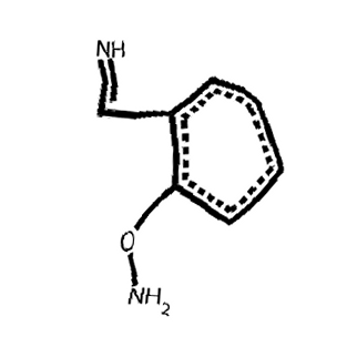 N=Cc1ccccc1ON